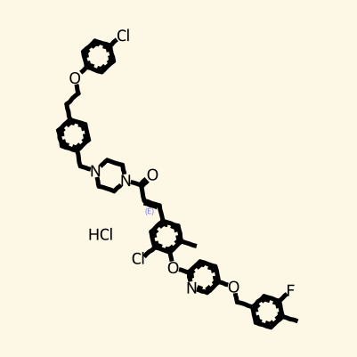 Cc1ccc(COc2ccc(Oc3c(C)cc(/C=C/C(=O)N4CCN(Cc5ccc(CCOc6ccc(Cl)cc6)cc5)CC4)cc3Cl)nc2)cc1F.Cl